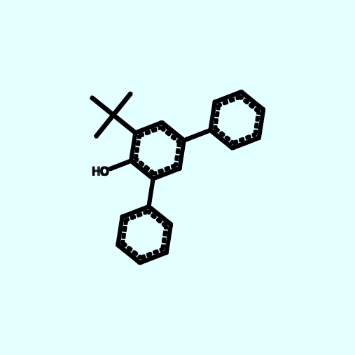 CC(C)(C)c1cc(-c2ccccc2)cc(-c2ccccc2)c1O